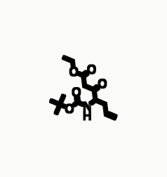 C=CCC(NC(=O)OC(C)(C)C)C(=O)CC(=O)OCC